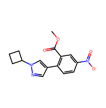 COC(=O)c1cc([N+](=O)[O-])ccc1-c1cnn(C2CCC2)c1